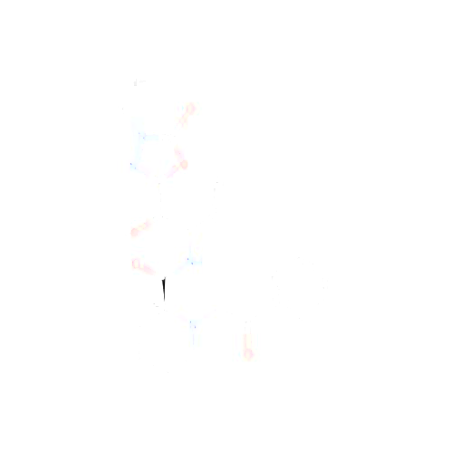 CC(C)C[C@H](NC(=O)[C@@H]1CCCCN1CC(=O)c1ccccc1)C(=O)c1nn(CC(C)C)c(=O)o1